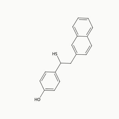 Oc1ccc(C(S)Cc2ccc3ccccc3c2)cc1